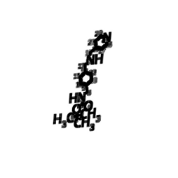 CC(C)(C)OC(=O)NCc1ccc(CNCc2ccncc2)cc1